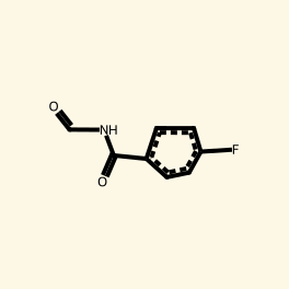 O=CNC(=O)c1ccc(F)cc1